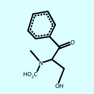 CN(C(=O)O)C(CO)C(=O)c1ccccc1